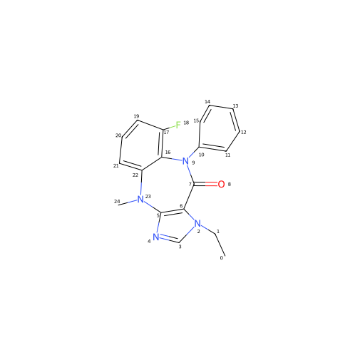 CCn1cnc2c1C(=O)N(c1ccccc1)c1c(F)cccc1N2C